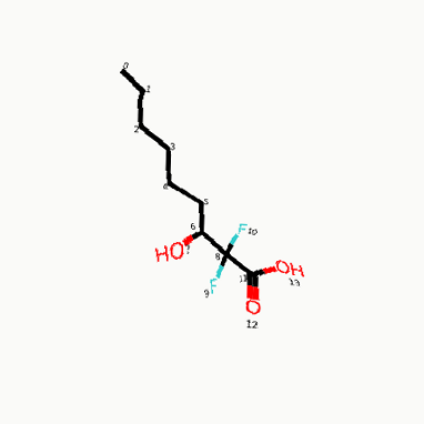 CCCCCCC(O)C(F)(F)C(=O)O